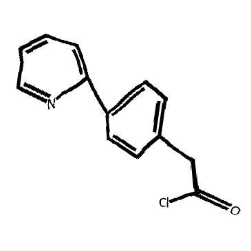 O=C(Cl)Cc1ccc(-c2ccccn2)cc1